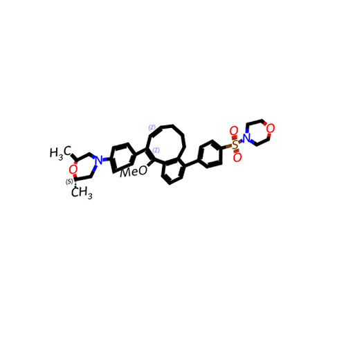 CO/C1=C(c2ccc(N3CC(C)O[C@@H](C)C3)cc2)/C=C\CCCc2c1cccc2-c1ccc(S(=O)(=O)N2CCOCC2)cc1